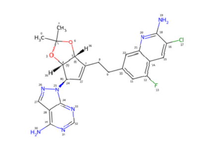 CC1(C)O[C@@H]2[C@H](O1)C(CCc1cc(F)c3cc(Cl)c(N)nc3c1)=C[C@H]2n1ncc2c(N)ncnc21